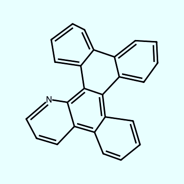 c1ccc2c(c1)c1ccccc1c1c3ncccc3c3ccccc3c21